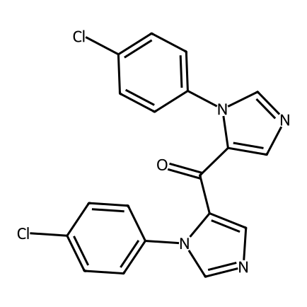 O=C(c1cncn1-c1ccc(Cl)cc1)c1cncn1-c1ccc(Cl)cc1